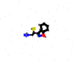 NCC(S)c1noc2ccccc12